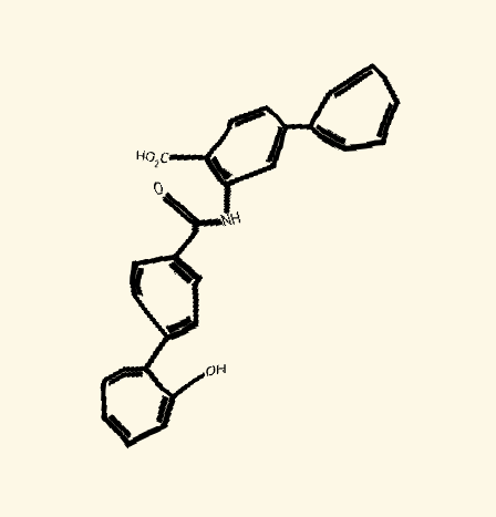 O=C(Nc1cc(-c2ccccc2)ccc1C(=O)O)c1ccc(-c2ccccc2O)cc1